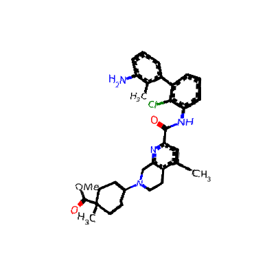 COC(=O)C1(C)CCC(N2CCc3c(C)cc(C(=O)Nc4cccc(-c5cccc(N)c5C)c4Cl)nc3C2)CC1